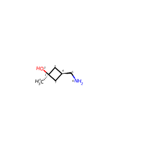 C[C@]1(O)C[C@@H](CN)C1